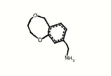 NCc1ccc2c(c1)OCCOC2